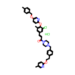 Cc1ccc(COc2ccc(Oc3c(C)cc(/C=C/C(=O)N4CCN(Cc5ccc(CCOc6ccc(C)cn6)cc5)CC4)cc3Cl)nc2)cc1.Cl